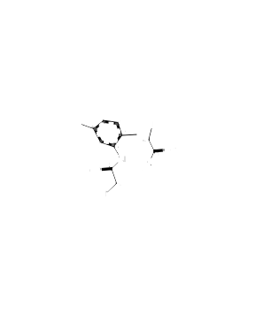 Cc1ccc(C)c(NC(=O)CI)c1.NC(=O)CI